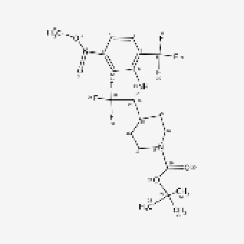 COC(=O)c1ccc(C(F)(F)F)c(N[C@H](C2CCN(C(=O)OC(C)(C)C)CC2)C(F)(F)F)c1